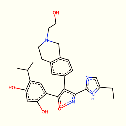 CCc1cnc(-c2noc(-c3cc(C(C)C)c(O)cc3O)c2-c2ccc3c(c2)CCN(CCO)C3)[nH]1